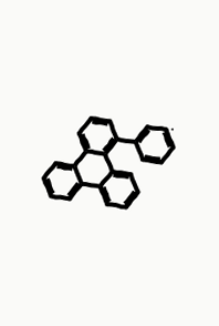 [c]1cccc(-c2cccc3c4ccccc4c4ccccc4c23)c1